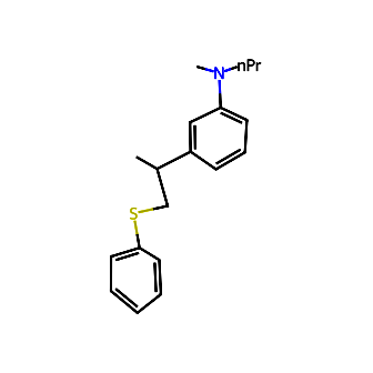 CCCN(C)c1cccc(C(C)CSc2ccccc2)c1